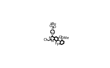 COc1cccc(F)c1-c1c(Cl)cc2c(N3CCN(C(=O)OC(C)(C)C)CC3)nc(CCl)nc2c1F